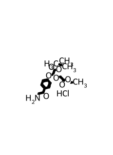 CCOC(=O)COC(Oc1ccc(C(=O)CN)cc1)C(=O)OC(C)(C)C.Cl